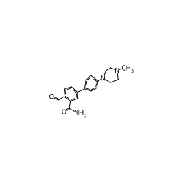 CN1CCN(c2ccc(-c3ccc(C=O)c(C(N)=O)c3)cc2)CC1